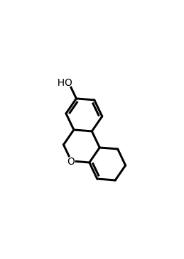 OC1=CC2COC3=CCCCC3C2C=C1